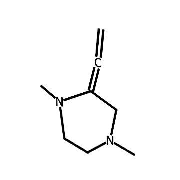 C=C=C1CN(C)CCN1C